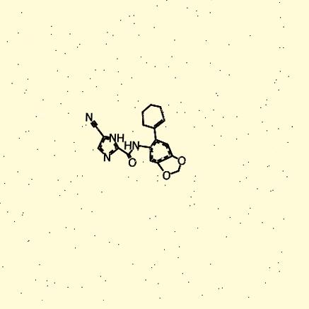 N#Cc1cnc(C(=O)Nc2cc3c(cc2C2=CCCCC2)OCO3)[nH]1